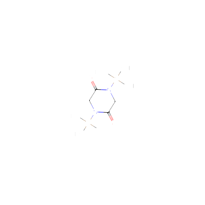 CS(C)(C)N1CC(=O)N(S(C)(C)C)CC1=O